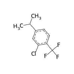 CC(C)c1ccc(C(F)(F)F)c(Cl)c1